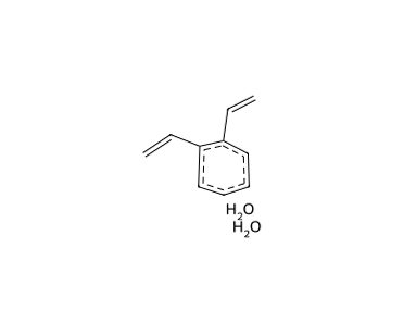 C=Cc1ccccc1C=C.O.O